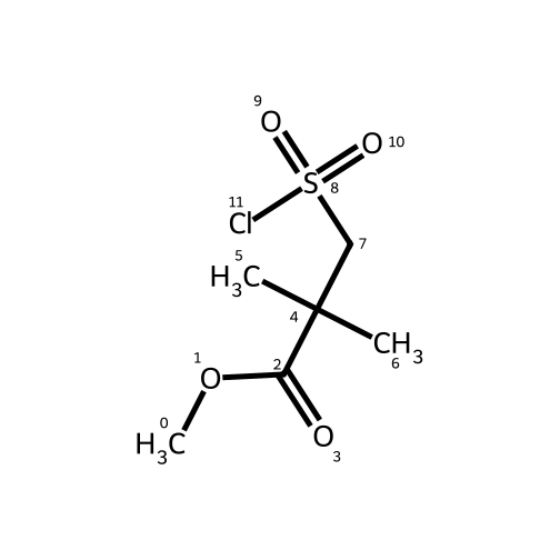 COC(=O)C(C)(C)CS(=O)(=O)Cl